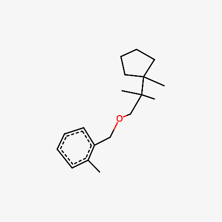 Cc1ccccc1COCC(C)(C)C1(C)CCCC1